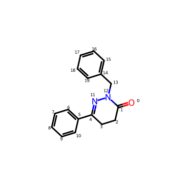 O=C1CCC(c2ccccc2)=NN1Cc1ccccc1